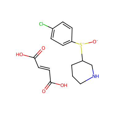 O=C(O)C=CC(=O)O.[O-][S+](c1ccc(Cl)cc1)C1CCCNC1